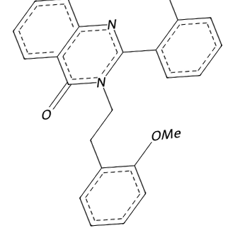 COc1ccccc1CCn1c(-c2ccccc2O)nc2ccccc2c1=O